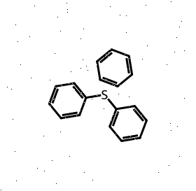 c1ccc(Sc2ccccc2)cc1.c1ccccc1